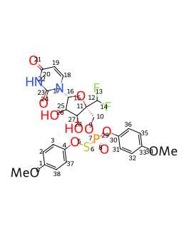 COc1ccc(OSP(=O)(OC[C@@]2(C(F)F)O[C@@H](n3ccc(=O)[nH]c3=O)[C@H](O)[C@@H]2O)Oc2ccc(OC)cc2)cc1